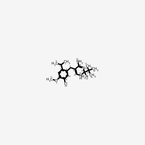 COc1cc(C(C)C)c(CC2=CNC(N)(C(C)(C)C)N=C2N)cc1Cl